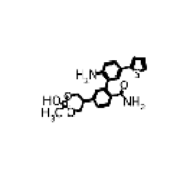 C[P]1(O)OCC(c2ccc(C(N)=O)c(-c3cc(-c4cccs4)ccc3N)c2)CO1